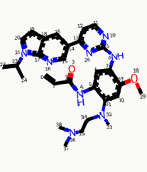 C=CC(=O)Nc1cc(Nc2nccc(-c3cnc4c(ccn4C(C)C)c3)n2)c(OC)cc1N(C)CCN(C)C